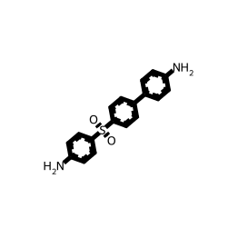 Nc1ccc(-c2ccc(S(=O)(=O)c3ccc(N)cc3)cc2)cc1